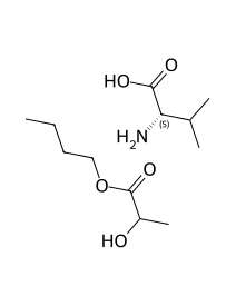 CC(C)[C@H](N)C(=O)O.CCCCOC(=O)C(C)O